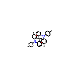 Cc1ccc(N(c2ccc(C)cc2)c2ccccc2C(C)(C)c2ccccc2N(c2ccc(C)cc2)c2ccc(C)cc2)cc1